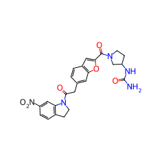 NC(=O)NC1CCN(C(=O)c2cc3ccc(CC(=O)N4CCc5ccc([N+](=O)[O-])cc54)cc3o2)C1